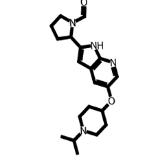 CC(C)N1CCC(Oc2cnc3[nH]c(C4CCCN4C=O)cc3c2)CC1